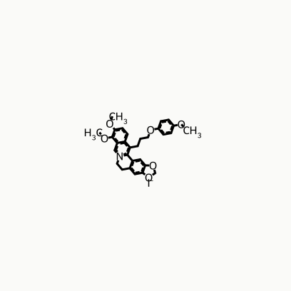 COc1ccc(OCCCc2c3[n+](cc4c(OC)c(OC)ccc24)CCc2cc4c(cc2-3)OCO4)cc1.[I-]